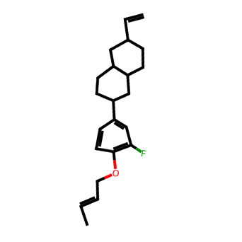 C=CC1CCC2CC(c3ccc(OC/C=C/C)c(F)c3)CCC2C1